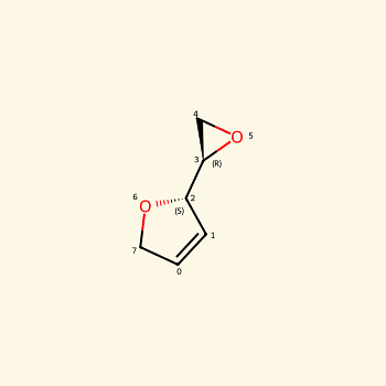 C1=C[C@@H]([C@H]2CO2)OC1